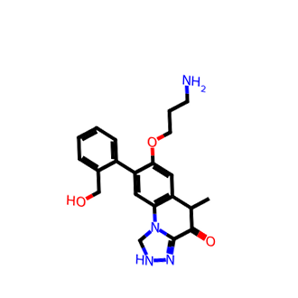 CC1C(=O)C2=NNCN2c2cc(-c3ccccc3CO)c(OCCCN)cc21